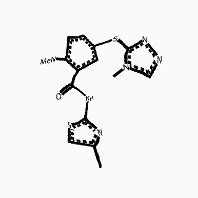 CNc1ccc(Sc2nncn2C)cc1C(=O)Nc1nc(C)cs1